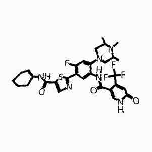 CC1CN(c2cc(F)c(-c3ncc(C(=O)NC4CCCCC4)s3)cc2NC(=O)c2c[nH]c(=O)cc2C(F)(F)F)CC(C)N1C